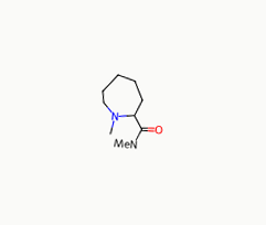 CNC(=O)C1CCCCCN1C